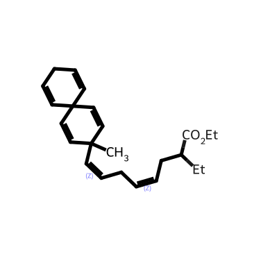 CCOC(=O)C(CC)C/C=C\C/C=C\C1(C)C=CC2(C=CCC=C2)C=C1